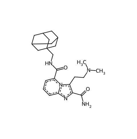 CN(C)CCc1c(C(N)=O)nc2cccc(C(=O)NCC34CC5CC(CC(C5)C3)C4)n12